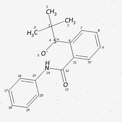 CC(C)(C)[S+]([O-])c1ccccc1C(=O)Nc1ccccc1